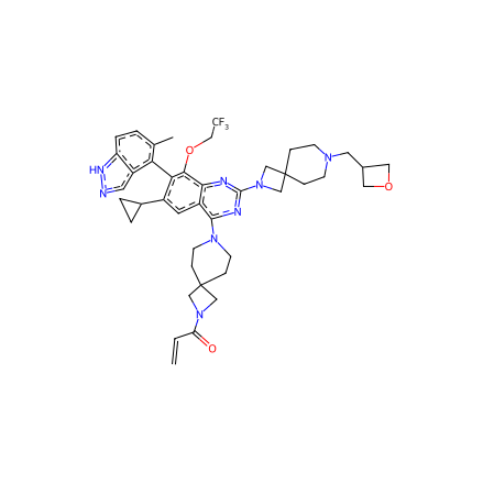 C=CC(=O)N1CC2(CCN(c3nc(N4CC5(CCN(CC6COC6)CC5)C4)nc4c(OCC(F)(F)F)c(-c5c(C)ccc6[nH]ncc56)c(C5CC5)cc34)CC2)C1